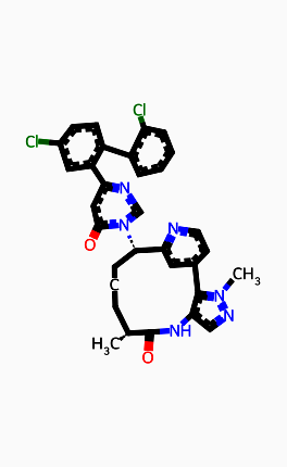 C[C@@H]1CCC[C@H](n2cnc(-c3cc(Cl)ccc3-c3ccccc3Cl)cc2=O)c2cc(ccn2)-c2c(cnn2C)NC1=O